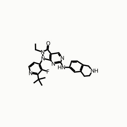 CCn1c(=O)c2cnc(Nc3ccc4c(c3)CCNC4)nc2n1-c1ccnc(C(C)(C)C)c1F